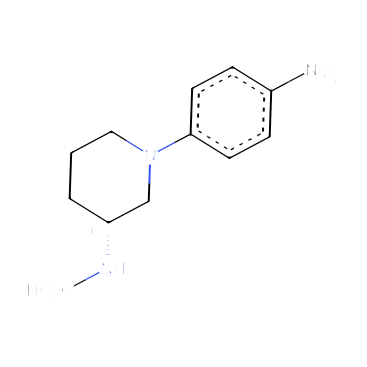 O=C(O)N[C@@H]1CCCN(c2ccc([N+](=O)[O-])cc2)C1